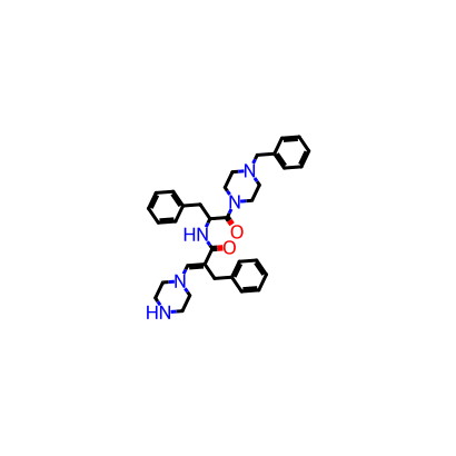 O=C(NC(Cc1ccccc1)C(=O)N1CCN(Cc2ccccc2)CC1)C(=CN1CCNCC1)Cc1ccccc1